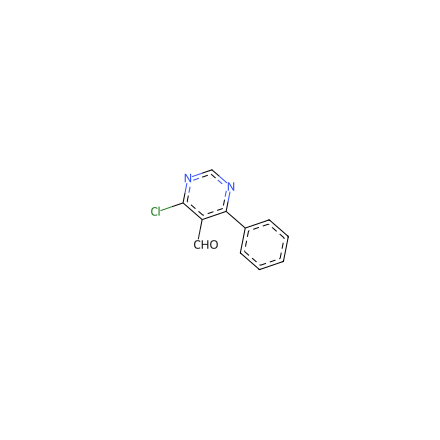 O=Cc1c(Cl)ncnc1-c1ccccc1